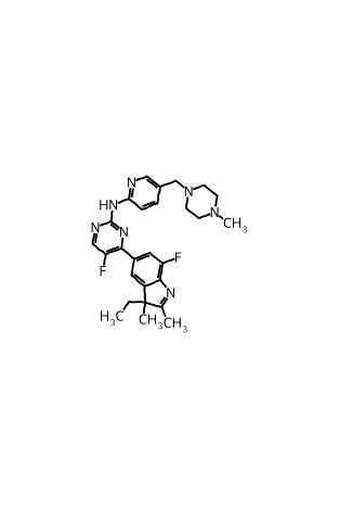 CCC1(C)C(C)=Nc2c(F)cc(-c3nc(Nc4ccc(CN5CCN(C)CC5)cn4)ncc3F)cc21